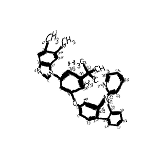 Cc1cc2ncn(-c3cc(Oc4ccc5c6ccccc6n(-c6ccccn6)c5c4)cc(C(C)(C)C)c3)c2cc1C